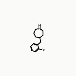 Brc1ccccc1CC1CCCNCC1